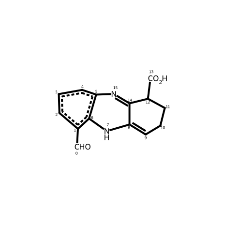 O=Cc1cccc2c1NC1=CCCC(C(=O)O)C1=N2